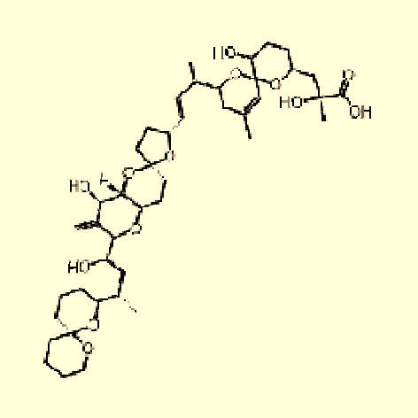 C=C1C(C(O)C[C@H](C)C2CCC[C@]3(CCCCO3)O2)OC2CC[C@@]3(CC[C@H](/C=C/[C@@H](C)C4CC(C)=CC5(O4)O[C@H](C[C@@](C)(O)C(=O)O)CCC5O)O3)O[C@H]2[C@@H]1O